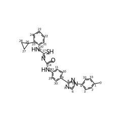 Cc1ccc(-n2cnc(-c3ccc(NC(=O)/N=C(\S)Nc4ccccc4C4CC4)cc3)n2)cc1